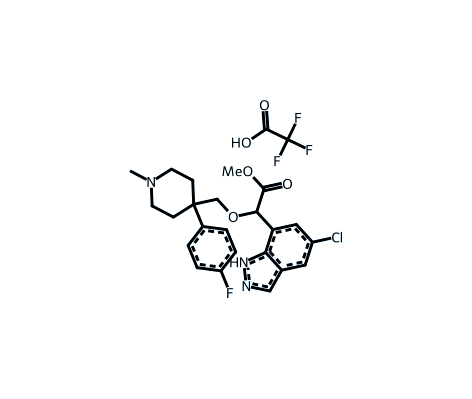 COC(=O)C(OCC1(c2ccc(F)cc2)CCN(C)CC1)c1cc(Cl)cc2cn[nH]c12.O=C(O)C(F)(F)F